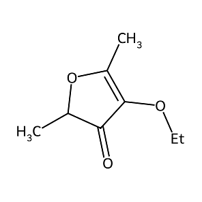 CCOC1=C(C)OC(C)C1=O